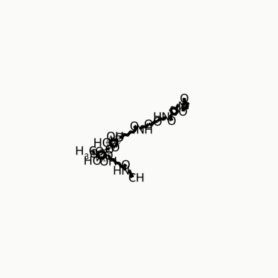 C#CCNC(=O)CCCCCO[C@H]1[C@H](O)[C@@H](O)[C@@H](OC)O[C@@H]1CO[C@H]1OC[C@@H](OCCCCCC(=O)NCCOCCOCCNC(=O)C2CCC(CN3C(=O)C=CC3=O)CC2)[C@H](O)[C@H]1O